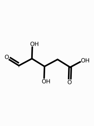 O=[C]C(O)C(O)CC(=O)O